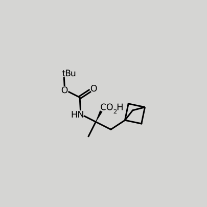 CC(C)(C)OC(=O)N[C@@](C)(CC12CC(C1)C2)C(=O)O